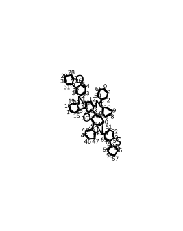 c1ccc(N(c2ccccc2)c2cc3c(c4ccccc4n3-c3ccc4oc5ccccc5c4c3)c3oc4c(ccc5c4c4ccccc4n5-c4ccc5sc6ccccc6c5c4)c23)cc1